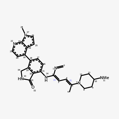 C=N/C(=C\C=C(/C)N1CCC(NC)CC1)Nc1ccc(-c2ccnc3c2ccn3C)c2c1C(=O)NC2